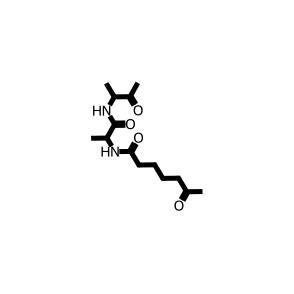 CC(=O)CCCCC(=O)NC(C)C(=O)NC(C)C(C)=O